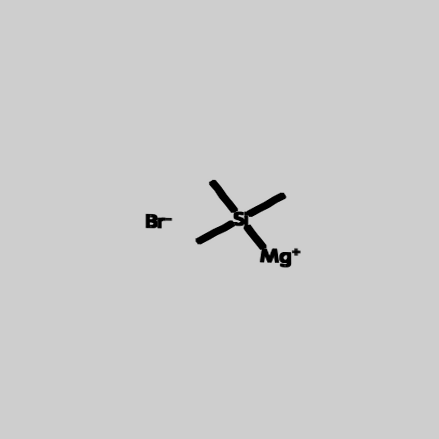 C[Si](C)(C)[Mg+].[Br-]